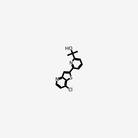 CC(C)(O)c1cccc(-c2cc3nccc(Cl)c3s2)n1